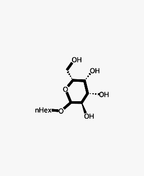 CCCCCCOC1O[C@H](CO)[C@H](O)[C@H](O)[C@H]1O